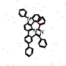 c1ccc(-c2ccc3c(c2)c2c(-c4ccccc4)nc(-c4ccccc4)n2c2c3ccc3c2c2ccccc2n3-c2ccccc2)cc1